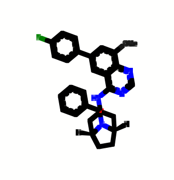 COc1cc(-c2ccc(F)cc2)cc2c(NC3C[C@H]4CC[C@@H](C3)N4Cc3ccccc3)ncnc12